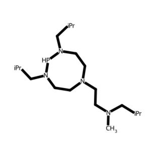 CC(C)CN(C)CCN1CCN(CC(C)C)PN(CC(C)C)CC1